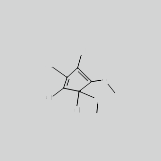 COC1=C(Cl)C(Cl)=C(Cl)C1(Cl)OC